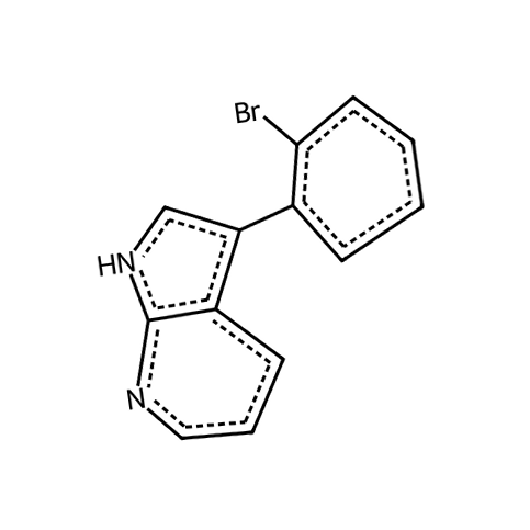 Brc1ccccc1-c1c[nH]c2ncccc12